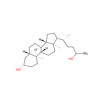 C[C@H](CCC(O)C(C)(C)C)C1CC[C@H]2[C@@H]3CC[C@H]4C[C@@H](O)CC[C@]4(C)[C@H]3CC[C@]12C